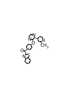 Cc1cc(-c2nccnc2Oc2ccc(C(=O)c3nc4ccccc4s3)cc2)ccn1